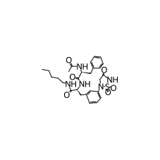 CCCCCNC(=O)[C@H](Cc1cccc(N2CC(=O)NS2(=O)=O)c1)NC(=O)[C@H](Cc1ccccc1)NC(C)=O